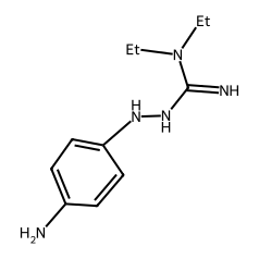 CCN(CC)C(=N)NNc1ccc(N)cc1